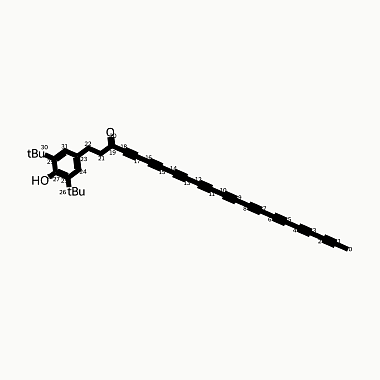 CC#CC#CC#CC#CC#CC#CC#CC#CC#CC(=O)CCc1cc(C(C)(C)C)c(O)c(C(C)(C)C)c1